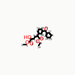 CCOC(=O)C(O)=CC=C(C(=O)OCC)c1cccc(C(=O)c2ccccc2)c1